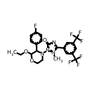 CCOC1OCCN(n2c(=O)nc(-c3cc(C(F)(F)F)cc(C(F)(F)F)c3)n2C)C1c1ccc(F)cc1